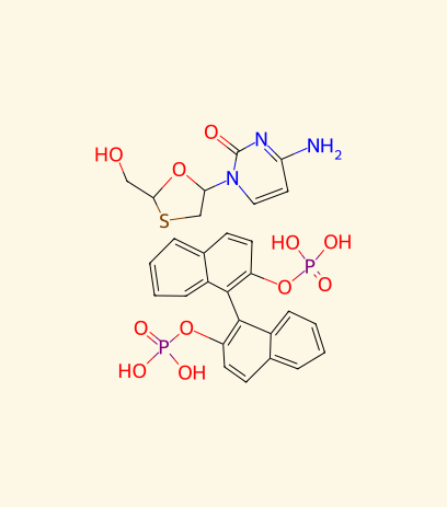 Nc1ccn(C2CSC(CO)O2)c(=O)n1.O=P(O)(O)Oc1ccc2ccccc2c1-c1c(OP(=O)(O)O)ccc2ccccc12